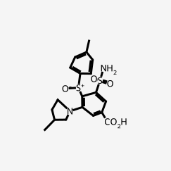 Cc1ccc([S+]([O-])c2c(N3CCC(C)C3)cc(C(=O)O)cc2S(N)(=O)=O)cc1